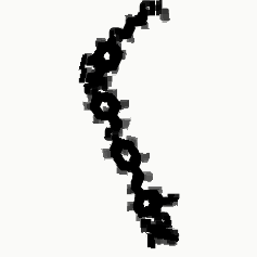 CCCCOc1ccc(C(F)(F)OC2CCC(COC3CCC(/C=C/c4ccc(OC(F)(F)F)c(F)c4)CC3)CC2)c(F)c1